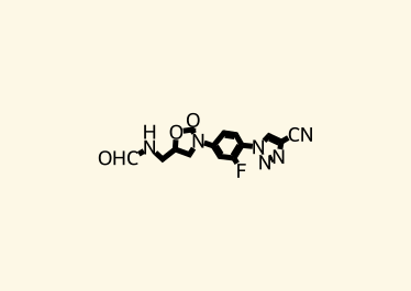 N#Cc1cn(-c2ccc(N3CC(CNC=O)OC3=O)cc2F)nn1